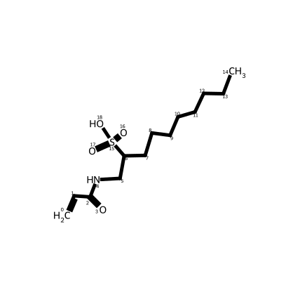 C=CC(=O)NCC(CCCCCCCC)S(=O)(=O)O